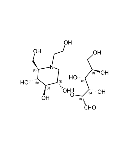 O=C[C@H](O)[C@@H](O)[C@H](O)[C@H](O)CO.OCCN1C[C@H](O)[C@@H](O)[C@H](O)[C@H]1CO